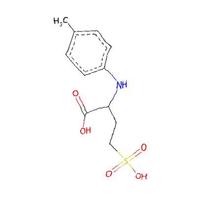 Cc1ccc(NC(CCS(=O)(=O)O)C(=O)O)cc1